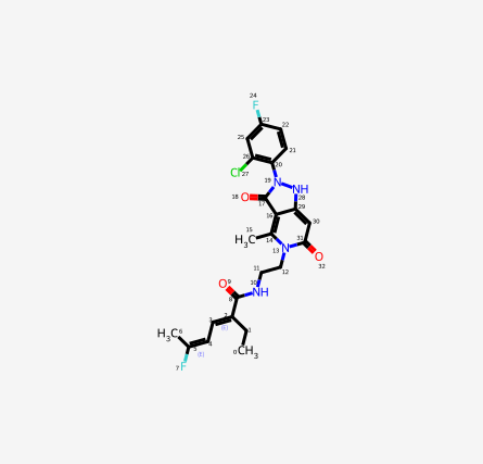 CC/C(=C\C=C(/C)F)C(=O)NCCn1c(C)c2c(=O)n(-c3ccc(F)cc3Cl)[nH]c2cc1=O